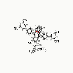 N#Cc1cc(C#N)cc(-c2ccc3c(c2)c2ccccc2n3-c2cc(C#N)c(-c3cc(C(F)(F)F)cc(C(F)(F)F)c3)cc2-n2c3ccccc3c3cc(-c4cc(C#N)cc(C#N)c4)ccc32)c1